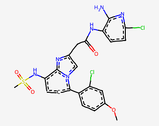 COc1ccc(-c2ccc(NS(C)(=O)=O)c3nc(CC(=O)Nc4ccc(Cl)nc4N)cn23)c(Cl)c1